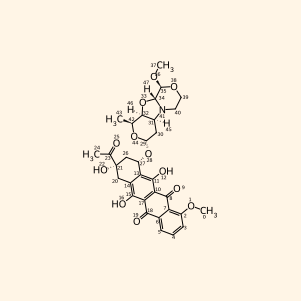 COc1cccc2c1C(=O)c1c(O)c3c(c(O)c1C2=O)C[C@@](O)(C(C)=O)C[C@@H]3O[C@H]1C[C@H]2[C@H](O[C@@H]3[C@@H](OC)OCCN32)[C@H](C)O1